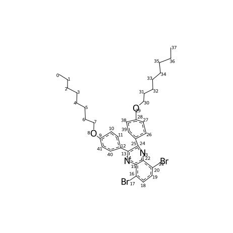 CCCCCCCCOc1ccc(-c2nc3c(Br)ccc(Br)c3nc2-c2ccc(OCCCCCCCC)cc2)cc1